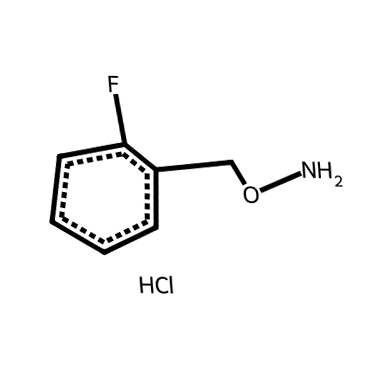 Cl.NOCc1ccccc1F